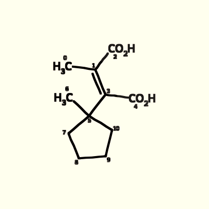 C/C(C(=O)O)=C(/C(=O)O)C1(C)CCCC1